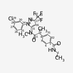 CCNC(=O)c1ccc(C(C)C(=O)N(C)c2cc(C(F)(F)F)nn2-c2cccc(Cl)c2)cc1